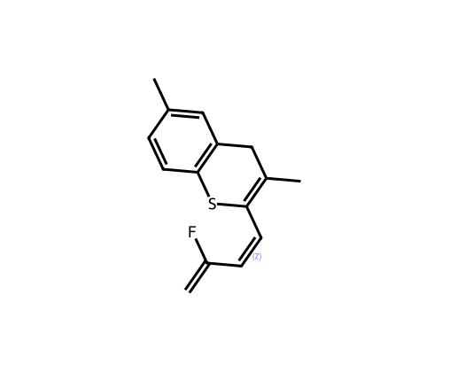 C=C(F)/C=C\C1=C(C)Cc2cc(C)ccc2S1